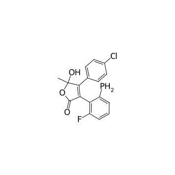 CC1(O)OC(=O)C(c2c(F)cccc2P)=C1c1ccc(Cl)cc1